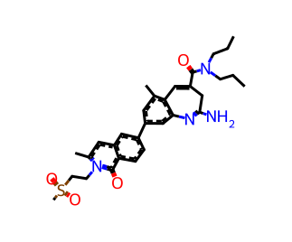 CCCN(CCC)C(=O)C1=Cc2c(C)cc(-c3ccc4c(=O)n(CCS(C)(=O)=O)c(C)cc4c3)cc2N=C(N)C1